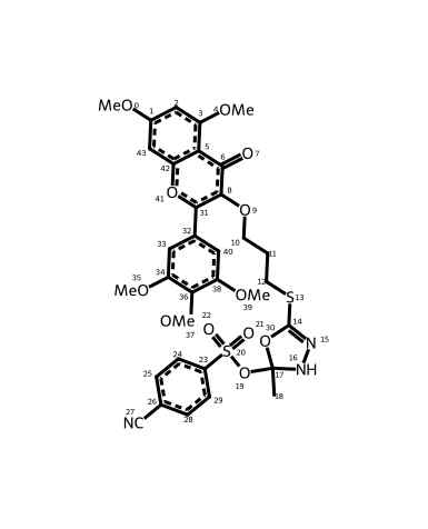 COc1cc(OC)c2c(=O)c(OCCCSC3=NNC(C)(OS(=O)(=O)c4ccc(C#N)cc4)O3)c(-c3cc(OC)c(OC)c(OC)c3)oc2c1